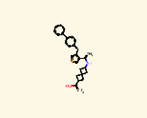 C=C(NC1CC2(C1)CC(C(=C)O)C2)c1cscc1Cc1ccc(-c2ccccc2)cc1